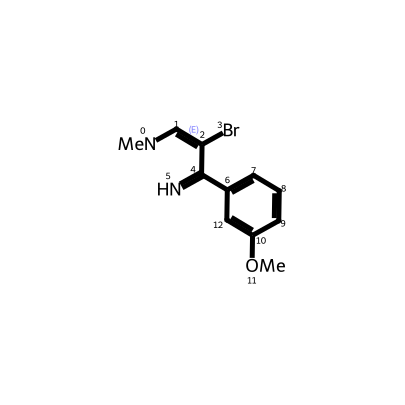 CN/C=C(/Br)C(=N)c1cccc(OC)c1